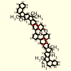 CC1(C)c2cc(-c3ccc4c(c3)N(c3c(-c5ccccc5)cccc3-c3ccccc3)c3cc(-c5ccc6c(c5)C(C)(C)c5cc7c(cc5-6)C(C)(C)c5ccc6ccccc6c5-7)ccc3O4)ccc2-c2cc3c(cc21)-c1c(ccc2ccccc12)C3(C)C